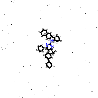 CC1(C)c2cc(-c3ccccc3)ccc2-c2c(-c3ccccc3)nc(-n3c4ccccc4c4cc5ccccc5cc43)nc21